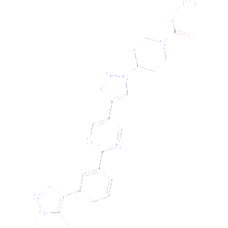 Cc1c(-c2cccc(-c3ncc(-c4cnn(C5CCN(C(=O)OC(C)(C)C)CC5)c4)cn3)c2)cnn1C